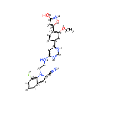 COc1cc(-c2cc(NCCN3C4=C(F)C=CCC4=CC3C#N)ncn2)ccc1-c1cc(O)no1